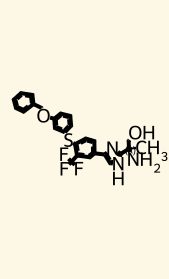 C[C@](N)(CO)c1nc(-c2ccc(Sc3cccc(OCc4ccccc4)c3)c(C(F)(F)F)c2)c[nH]1